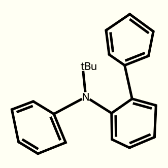 CC(C)(C)N(c1ccccc1)c1ccccc1-c1ccccc1